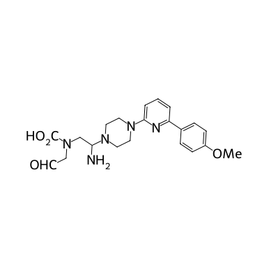 COc1ccc(-c2cccc(N3CCN(C(N)CN(CC=O)C(=O)O)CC3)n2)cc1